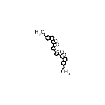 CCCc1ccc2c(ccc3oc(=O)c(-c4ccc(-c5ccc(-c6cc7c(ccc8cc(CCC)ccc87)oc6=O)s5)s4)cc32)c1